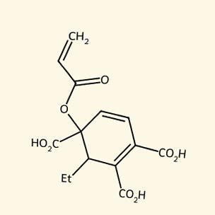 C=CC(=O)OC1(C(=O)O)C=CC(C(=O)O)=C(C(=O)O)C1CC